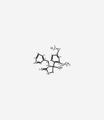 COc1ccc(C2(O)CSC(=S)N2Cc2cccnc2)c(OC)c1